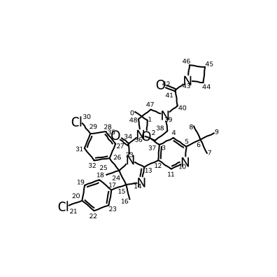 CCOc1cc(C(C)(C)C)ncc1C1=NC(C)(c2ccc(Cl)cc2)C(C)(c2ccc(Cl)cc2)N1C(=O)N1CCN(CC(=O)N2CCC2)CC1